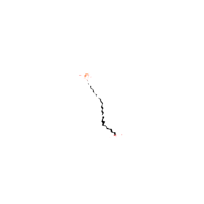 O=C(O)CCCCCCCCCCCCCCCCCCCCCCCCCCP(=O)(O)O